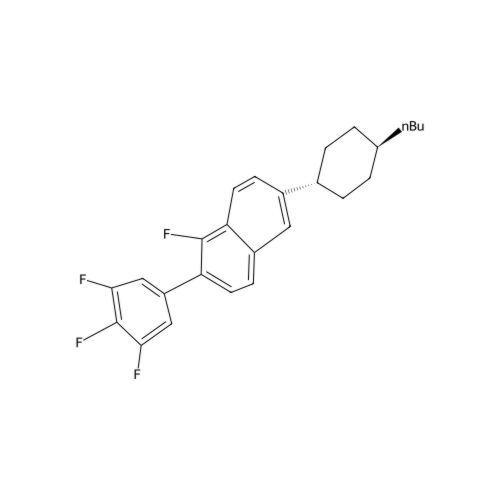 CCCC[C@H]1CC[C@H](c2ccc3c(F)c(-c4cc(F)c(F)c(F)c4)ccc3c2)CC1